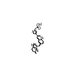 Cc1ccc2nnc(Cc3ccc4ncc(-c5cnn(CC(=O)O)c5)cc4c3)n2n1